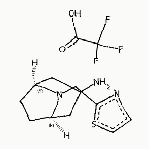 NC1C[C@H]2CC[C@@H](C1)N2Cc1nccs1.O=C(O)C(F)(F)F